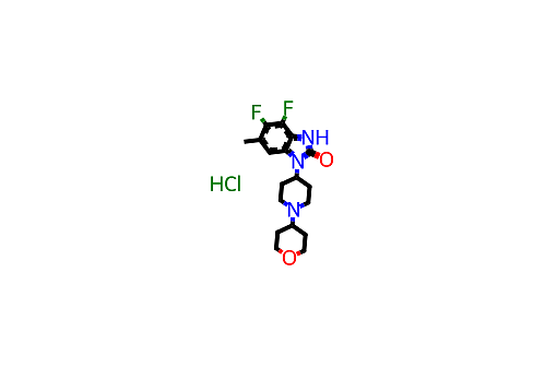 Cc1cc2c([nH]c(=O)n2C2CCN(C3CCOCC3)CC2)c(F)c1F.Cl